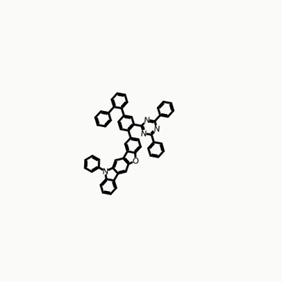 c1ccc(-c2nc(-c3ccccc3)nc(-c3cc(-c4ccccc4-c4ccccc4)ccc3-c3ccc4oc5cc6c7ccccc7n(-c7ccccc7)c6cc5c4c3)n2)cc1